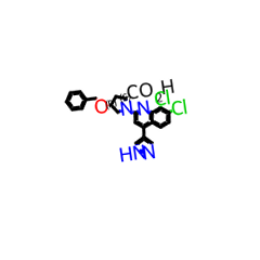 O=C(O)[C@@H]1C[C@@H](OCc2ccccc2)CN1c1cc(-c2cn[nH]c2)c2ccc(Cl)c(Cl)c2n1